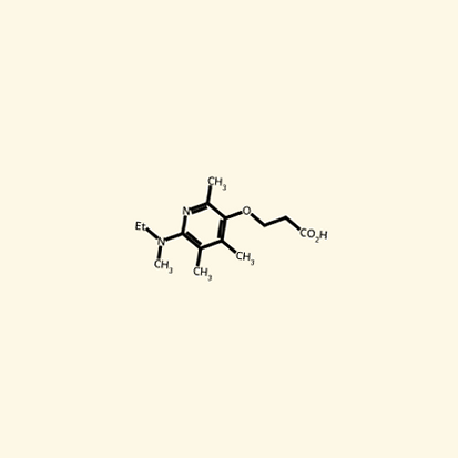 CCN(C)c1nc(C)c(OCCC(=O)O)c(C)c1C